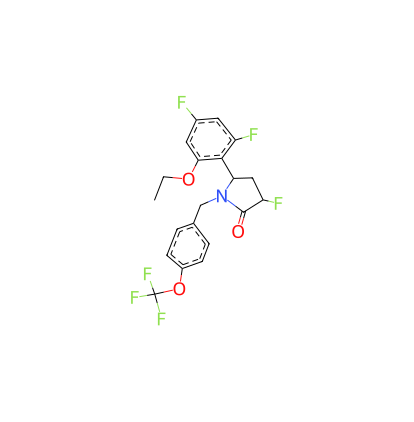 CCOc1cc(F)cc(F)c1C1CC(F)C(=O)N1Cc1ccc(OC(F)(F)F)cc1